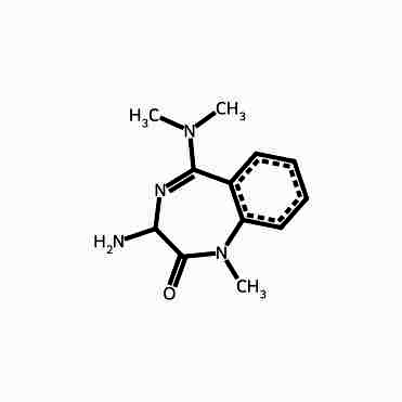 CN(C)C1=NC(N)C(=O)N(C)c2ccccc21